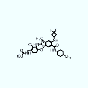 Cn1c(Nc2c(Cl)ccc(CNC(=O)C(C)(C)C)c2Cl)nc2cc(C(=O)N[C@H]3CC[C@H](C(F)(F)F)CC3)c(NC3CC(F)(F)C3)cc21